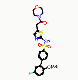 COc1ccc(F)cc1-c1ccc(S(=O)(=O)Nc2ncc(CC(=O)N3CCOCC3)s2)cc1